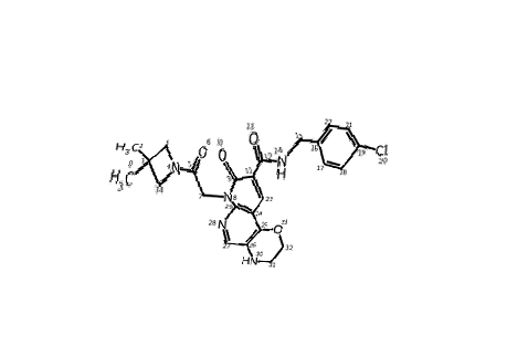 CC1(C)CN(C(=O)Cn2c(=O)c(C(=O)NCc3ccc(Cl)cc3)cc3c4c(cnc32)NCCO4)C1